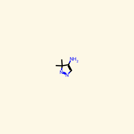 CC1(C)N=NC=C1N